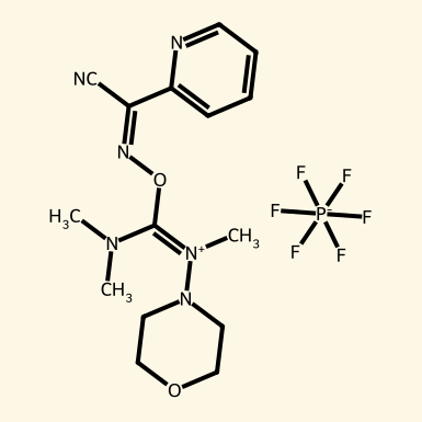 CN(C)/C(O/N=C(/C#N)c1ccccn1)=[N+](/C)N1CCOCC1.F[P-](F)(F)(F)(F)F